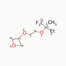 CCC(C)(OCCOC1COC1)C(F)(F)F